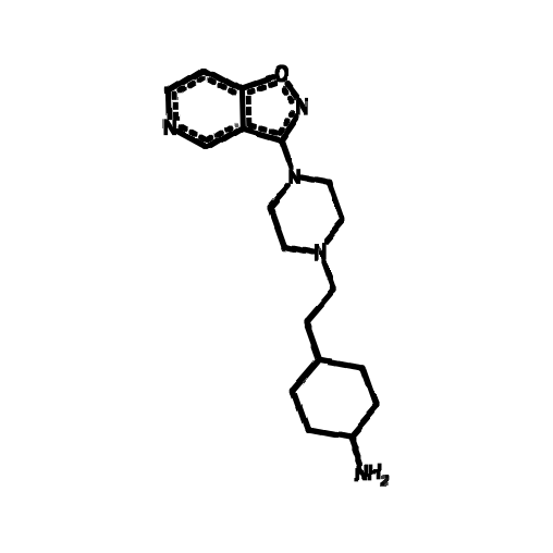 NC1CCC(CCN2CCN(c3noc4ccncc34)CC2)CC1